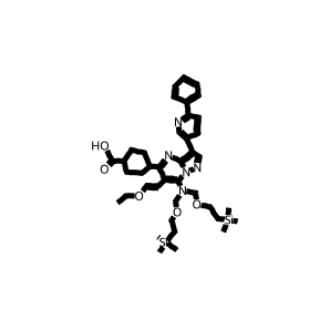 CCOC=Cc1c(C2CCC(C(=O)O)CC2)nc2c(-c3ccc(-c4ccccc4)nc3)cnn2c1N(COCC[Si](C)(C)C)COCC[Si](C)(C)C